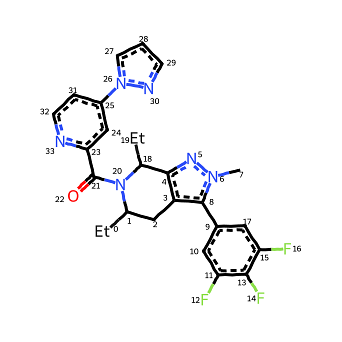 CCC1Cc2c(nn(C)c2-c2cc(F)c(F)c(F)c2)C(CC)N1C(=O)c1cc(-n2cccn2)ccn1